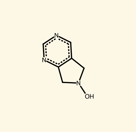 ON1Cc2cncnc2C1